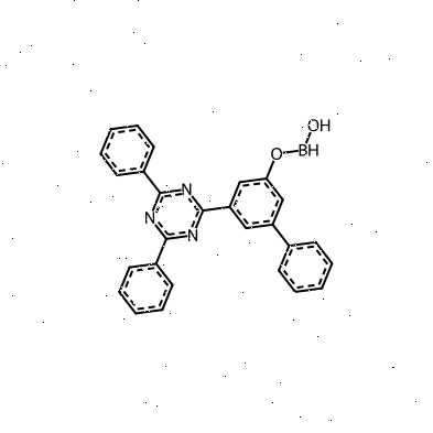 OBOc1cc(-c2ccccc2)cc(-c2nc(-c3ccccc3)nc(-c3ccccc3)n2)c1